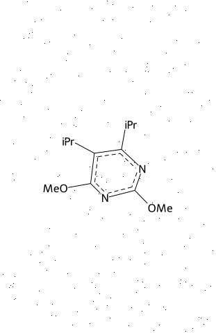 COc1nc(OC)c(C(C)C)c(C(C)C)n1